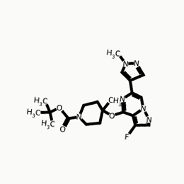 Cn1cc(-c2cn3ncc(F)c3c(OC3(C)CCN(C(=O)OC(C)(C)C)CC3)n2)cn1